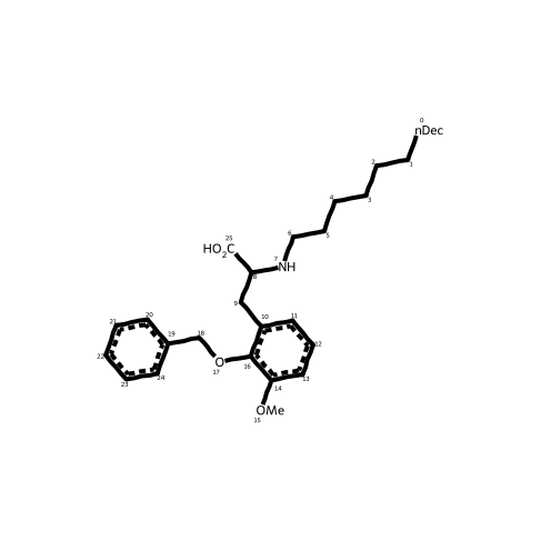 CCCCCCCCCCCCCCCCNC(Cc1cccc(OC)c1OCc1ccccc1)C(=O)O